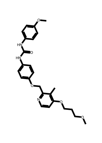 COCCCOc1ccnc(COc2ccc(NC(=O)Nc3ccc(OC)cc3)cc2)c1C